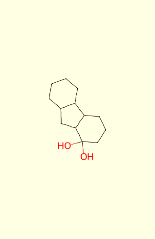 OC1(O)CCCC2C3CCCCC3CC21